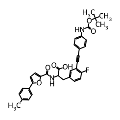 Cc1ccc(-c2ccc(C(=O)NC(Cc3ccc(F)c(C#Cc4ccc(NC(=O)OC(C)(C)C)cc4)c3)C(=O)O)o2)cc1